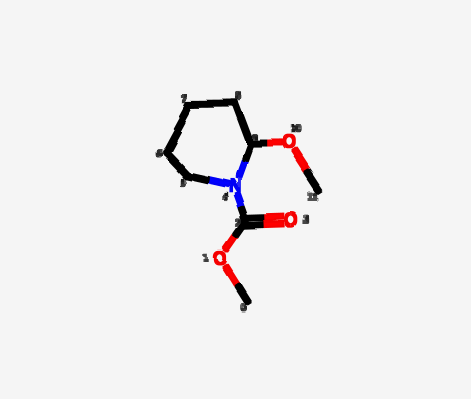 COC(=O)N1CCCCC1OC